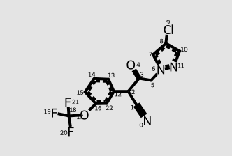 N#CC(C(=O)Cn1cc(Cl)cn1)c1cccc(OC(F)(F)F)c1